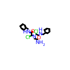 NCCN(C(Cl)C(=O)NCc1ccccc1)C(Cl)C(=O)NCc1ccccc1